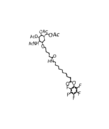 CC(=O)N[C@@H]1[C@@H](OC(C)=O)[C@@H](OC(C)=O)[C@@H](COC(C)=O)C[C@H]1OCCCCC(=O)NCCCCCCCCCC(=O)Oc1c(F)c(F)c(F)c(F)c1F